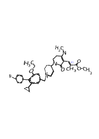 C=NC1=C(/C=C(\C)C(=O)OC)C(=O)N(C2CCN(Cc3cc(OCC)c(-c4ccc(F)cc4)c(C4CC4)c3)CC2)CC1